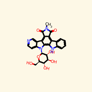 CN1C(=O)c2c(c3c4cnccc4n([C@@H]4O[C@H](CO)[C@@H](O)[C@H](O)[C@H]4O)c3c3[nH]c4ccccc4c23)C1=O